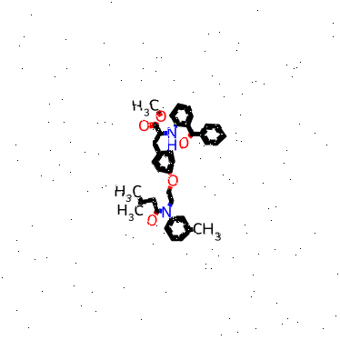 COC(=O)C(Cc1ccc(OCCN(C(=O)CC(C)C)c2cccc(C)c2)cc1)Nc1ccccc1C(=O)c1ccccc1